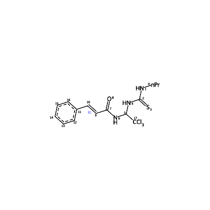 CCCNC(=S)NC(NC(=O)/C=C/c1ccccc1)C(Cl)(Cl)Cl